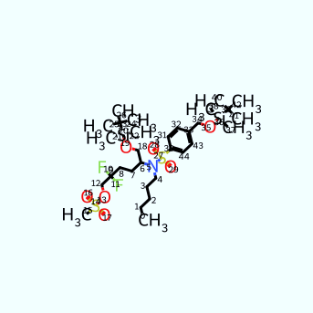 CCCCCN(C(CCC(F)(F)COS(C)(=O)=O)CO[Si](C)(C)C(C)(C)C)S(=O)(=O)c1ccc(CO[Si](C)(C)C(C)(C)C)cc1